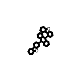 c1ccc2c(c1)oc1cc(-c3c4ccccc4c(-c4cccc5oc6ccccc6c45)c4ccccc34)ccc12